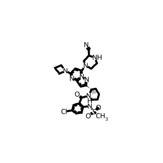 CS(=O)(=O)Nc1ccc(Cl)cc1C(=O)N1CCCC[C@H]1c1cc2nc(N3CCC3)cc(N3CCNC(C#N)C3)n2n1